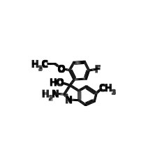 CCOc1ccc(F)cc1C1(O)C(N)=Nc2ccc(C)cc21